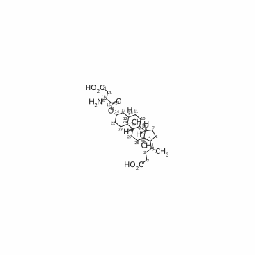 C[C@H](CCC(=O)O)C1CC[C@H]2[C@@H]3CC[C@@H]4C[C@@H](OC(=O)[C@@H](N)CC(=O)O)CC[C@]4(C)[C@H]3CC[C@]12C